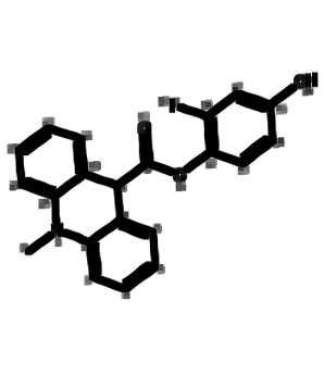 CN1c2ccccc2C(C(=O)Oc2ccc(O)cc2F)c2ccccc21